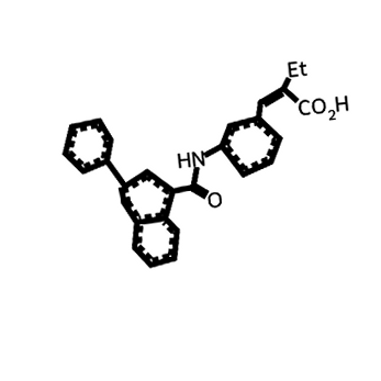 CCC(=Cc1cccc(NC(=O)c2cc(-c3ccccc3)cc3ccccc23)c1)C(=O)O